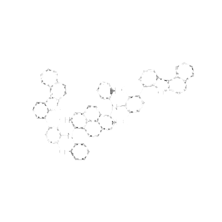 Cc1ccc(-c2cccc3c2oc2ccc4ccccc4c23)c(C)c1N(c1ccccc1)c1ccc2ccc3c(N(c4ccccc4)c4c(C)ccc(-c5cccc6c5oc5ccc7ccccc7c56)c4C)ccc4ccc1c2c43